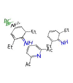 CC(=O)c1cccc(C(C)=O)n1.CCC1=CC=CC(CC)C1=N.CCC1=CC=CC(CC)C1=N.[Br-].[Br-].[Ni+2]